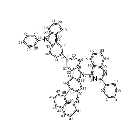 c1ccc(-c2nc(-n3c4ccc(-c5ccc6c(c5)c5ccccc5n6-c5ccccc5)cc4c4cc5c(cc43)Sc3cccc4cccc-5c34)c3ccccc3n2)cc1